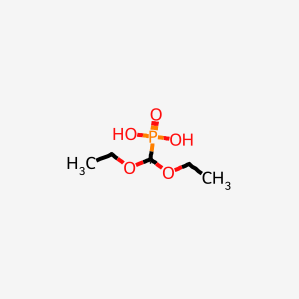 CCO[C](OCC)P(=O)(O)O